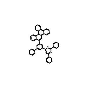 c1ccc(-c2cc(-c3nc(-c4ccccc4)nc(-c4ccccc4)n3)cc(-c3cc4c5ccccc5c5ccccc5c4c4ccccc34)c2)cc1